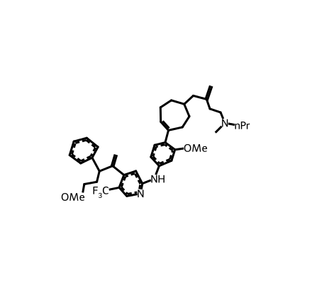 C=C(CCN(C)CCC)CC1CCC=C(c2ccc(Nc3cc(C(=C)C(CCOC)c4ccccc4)c(C(F)(F)F)cn3)cc2OC)CC1